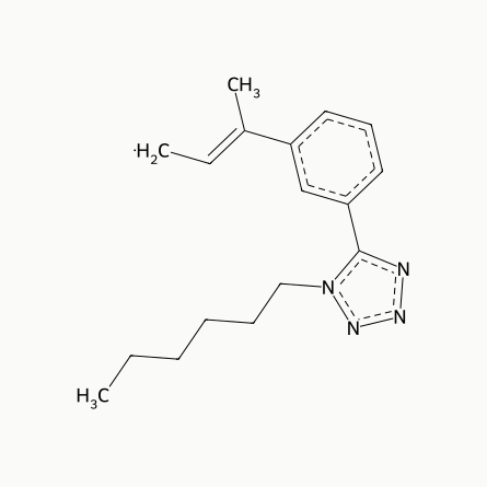 [CH2]C=C(C)c1cccc(-c2nnnn2CCCCCC)c1